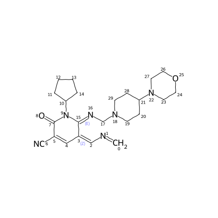 C=N/C=C1/C=C(C#N)C(=O)N(C2CCCC2)/C1=N/CN1CCC(N2CCOCC2)CC1